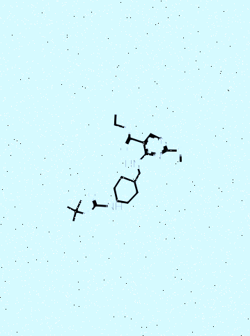 CCOC(=O)c1cnc(SC)nc1NCC1CCC(NC(=O)OC(C)(C)C)CC1